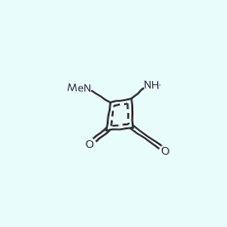 CNc1c([NH])c(=O)c1=O